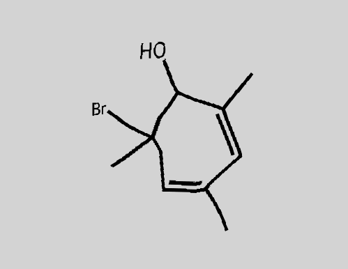 CC1=CC(C)(Br)C(O)C(C)=C1